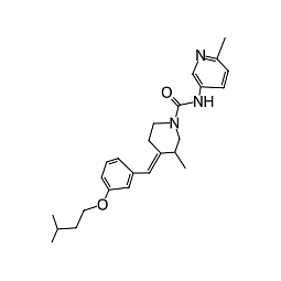 Cc1ccc(NC(=O)N2CCC(=Cc3cccc(OCCC(C)C)c3)C(C)C2)cn1